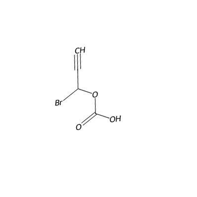 C#CC(Br)OC(=O)O